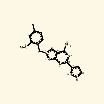 COc1cc(C)ccc1Cn1cc2c(N)nc(-c3ccsn3)nc2n1